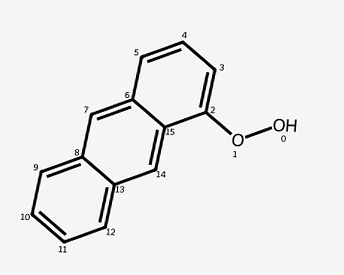 OOc1cccc2cc3ccccc3cc12